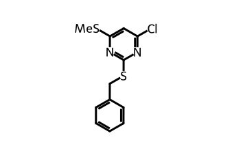 CSc1cc(Cl)nc(SCc2ccccc2)n1